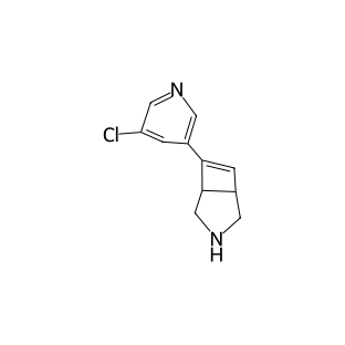 Clc1cncc(C2=CC3CNCC23)c1